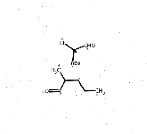 CCCC(C)C=O.CCCCC(C=O)CC